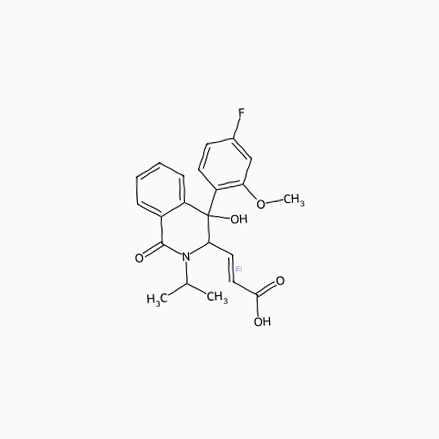 COc1cc(F)ccc1C1(O)c2ccccc2C(=O)N(C(C)C)C1/C=C/C(=O)O